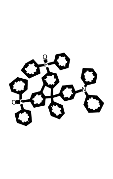 O=P(c1ccccc1)(c1ccccc1)c1ccc2c(c1)-c1cc(P(=O)(c3ccccc3)c3ccccc3)ccc1C2(c1ccccc1)c1ccc(N(c2ccccc2)c2ccccc2)cc1